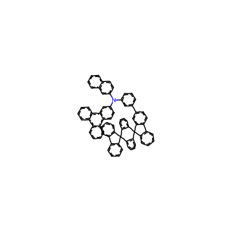 c1cc(-c2ccc3c(c2)C2(c4ccccc4-3)c3ccccc3C3(c4ccccc4-c4ccccc43)c3ccccc32)cc(N(c2ccc3ccccc3c2)c2ccc3c4ccccc4c4ccccc4c3c2)c1